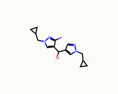 OC(c1cnn(CC2CC2)c1)c1cn(CC2CC2)nc1I